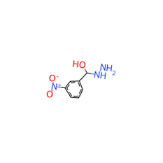 NNC(O)c1cccc([N+](=O)[O-])c1